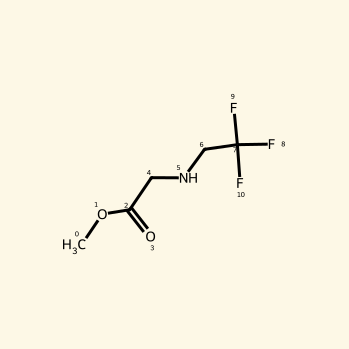 COC(=O)CNCC(F)(F)F